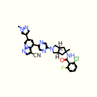 Cn1cc(-c2cc(-c3cnc(N4C[C@@H]5CC(C)(NC(=O)c6c(F)cccc6Cl)C[C@@H]5C4)cn3)c3c(C#N)cnn3c2)cn1